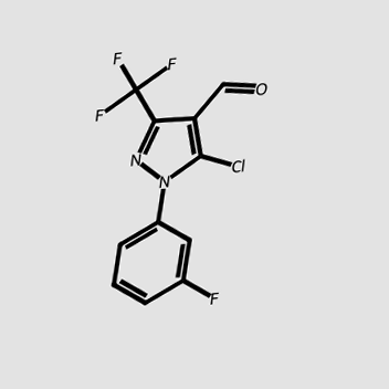 O=Cc1c(C(F)(F)F)nn(-c2cccc(F)c2)c1Cl